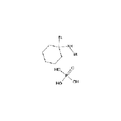 CCNC1(CC)CCCCC1.O=P(O)(O)O